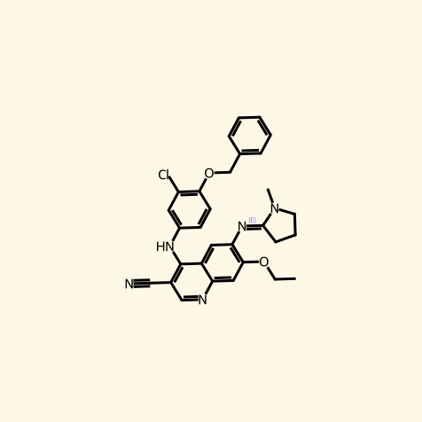 CCOc1cc2ncc(C#N)c(Nc3ccc(OCc4ccccc4)c(Cl)c3)c2cc1/N=C1\CCCN1C